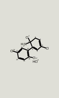 Cl.NC1(Cl)CC=C(Cl)C=C1c1cc(Cl)ccc1Cl